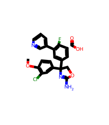 COc1ccc(C2(c3ccc(F)c(-c4cccnc4)c3)COC(N)=N2)cc1Cl.O=CO